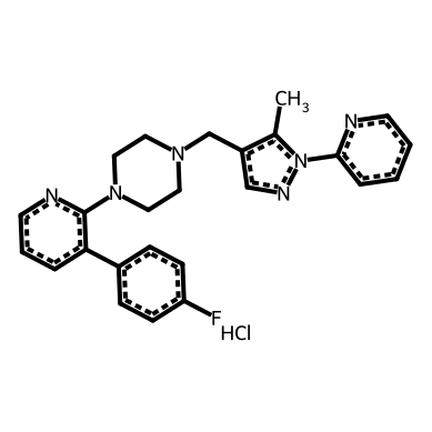 Cc1c(CN2CCN(c3ncccc3-c3ccc(F)cc3)CC2)cnn1-c1ccccn1.Cl